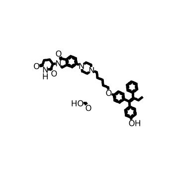 CCC(=C(c1ccc(O)cc1)c1ccc(OCCCCCN2CCN(c3ccc4c(c3)CN(C3CCC(=O)NC3=O)C4=O)CC2)cc1)c1ccccc1.O=CO